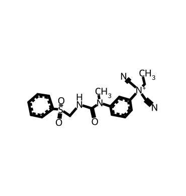 CC[N+](C#N)(C#N)c1cccc(N(C)C(=O)NCS(=O)(=O)c2ccccc2)c1